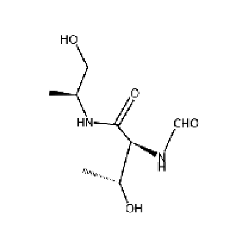 C[C@@H](CO)NC(=O)[C@@H](NC=O)[C@@H](C)O